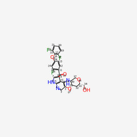 COc1cnc2[nH]cc(C(=O)c3ccc(Oc4c(F)cccc4F)cc3F)c2c1N[C@@H]1CC[C@@H](CO)OC1